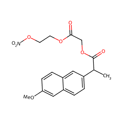 COc1ccc2cc(C(C)C(=O)OCC(=O)OCCO[N+](=O)[O-])ccc2c1